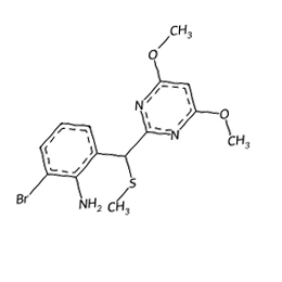 COc1cc(OC)nc(C(SC)c2cccc(Br)c2N)n1